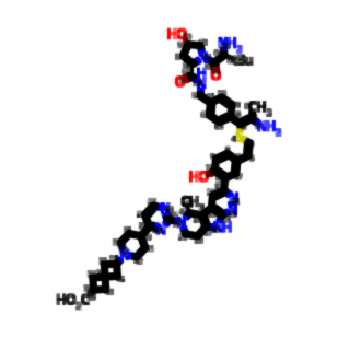 C/C(N)=C(/S/C=C\c1ccc(O)c(-c2cc3c4c([nH]c3nn2)CCN(c2nccc(C3CCN(C5CC6(CC(C(=O)O)C6)C5)CC3)n2)[C@@H]4C)c1)c1ccc(CNC(=O)[C@@H]2C[C@@H](O)CN2C(=O)[C@@H](N)C(C)(C)C)cc1